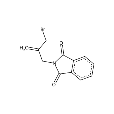 C=C(CBr)CN1C(=O)c2ccccc2C1=O